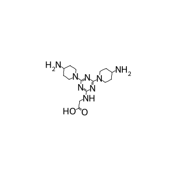 NC1CCN(c2nc(NCC(=O)O)nc(N3CCC(N)CC3)n2)CC1